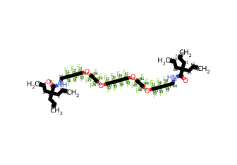 C=CCC(CC=C)(CC=C)C(=O)NCC(F)(F)C(F)(F)C(F)(F)OC(F)(F)C(F)(F)OC(F)(F)C(F)(F)C(F)(F)C(F)(F)OC(F)(F)C(F)(F)OC(F)(F)C(F)(F)C(F)(F)CNC(=O)C(CC=C)(CC=C)CC=C